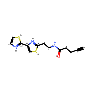 C#CCCC(=O)NCCc1nc(-c2nccs2)cs1